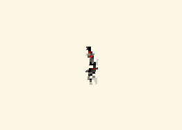 Clc1cccc(CNSc2cnn(Cc3cn4cc(C5CC5)ccc4n3)c2)c1